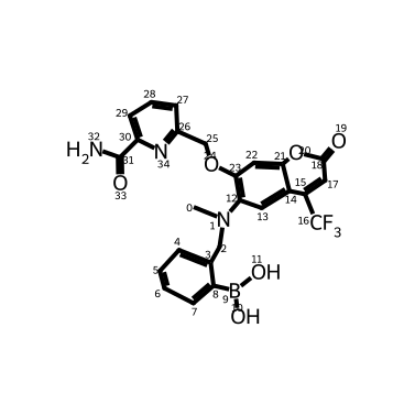 CN(Cc1ccccc1B(O)O)c1cc2c(C(F)(F)F)cc(=O)oc2cc1OCc1cccc(C(N)=O)n1